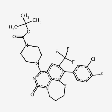 CC(C)(C)OC(=O)N1CCN(c2nc(=O)n3c4c(c(-c5ccc(F)c(Cl)c5)c(C(F)(F)F)cc24)SCCC3)CC1